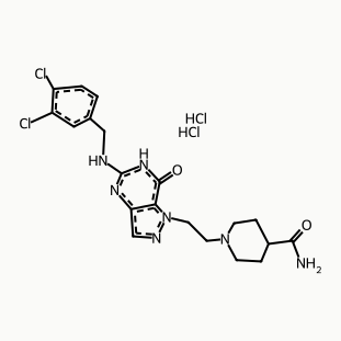 Cl.Cl.NC(=O)C1CCN(CCn2ncc3nc(NCc4ccc(Cl)c(Cl)c4)[nH]c(=O)c32)CC1